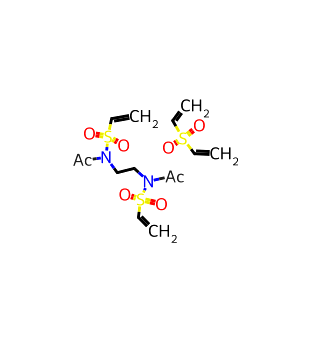 C=CS(=O)(=O)C=C.C=CS(=O)(=O)N(CCN(C(C)=O)S(=O)(=O)C=C)C(C)=O